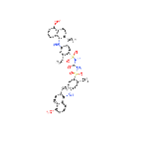 Cc1cc(Nc2c(S(=O)(=O)O)ccc3c(O)cccc23)ccc1S(=O)(=O)NC(=O)NS(=O)(=O)c1ccc(Nc2c(S(=O)(=O)O)ccc3c(O)cccc23)cc1C